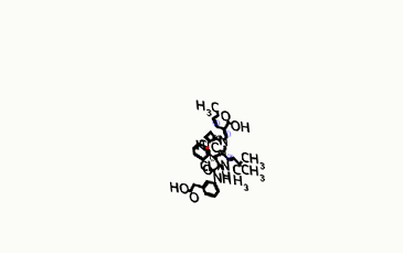 CC/C=C\C(=C/N(C[C@]1(C)/C(=C/C(C)(C)C)N[C@@H](C(=O)Nc2cccc(CC(=O)O)c2)[C@@H]1c1ccccc1Cl)[C@@H]1CC=C1Cl)C(=O)O